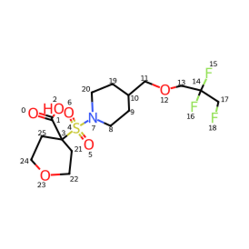 O=C(O)C1(S(=O)(=O)N2CCC(COCC(F)(F)CF)CC2)CCOCC1